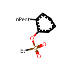 CCCCCc1ccccc1OS(=O)(=O)CC